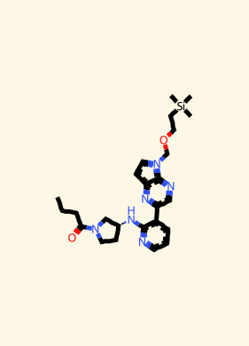 CCCC(=O)N1CC[C@@H](Nc2ncccc2-c2cnc3c(ccn3COCC[Si](C)(C)C)n2)C1